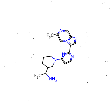 NC(C1CCCN(c2ccnc(-c3cnc4cnc(C(F)(F)F)cn34)n2)C1)C(F)(F)F